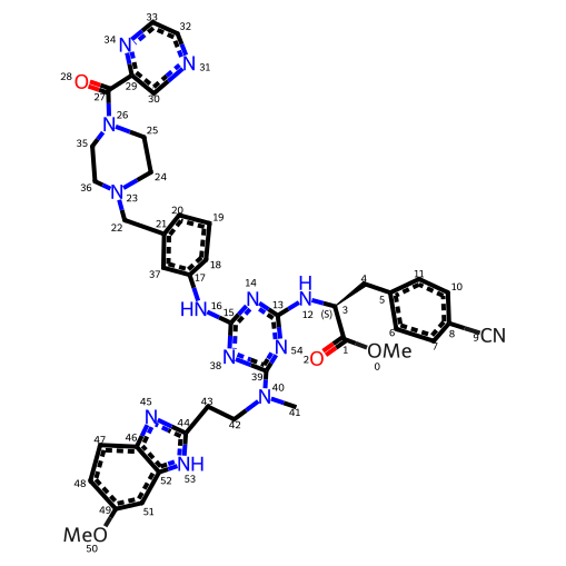 COC(=O)[C@H](Cc1ccc(C#N)cc1)Nc1nc(Nc2cccc(CN3CCN(C(=O)c4cnccn4)CC3)c2)nc(N(C)CCc2nc3ccc(OC)cc3[nH]2)n1